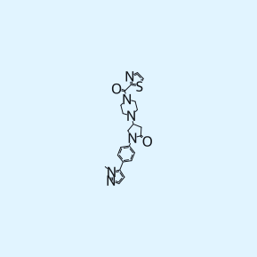 Cn1nccc1-c1ccc(N2CC(N3CCN(C(=O)c4nccs4)CC3)CC2=O)cc1